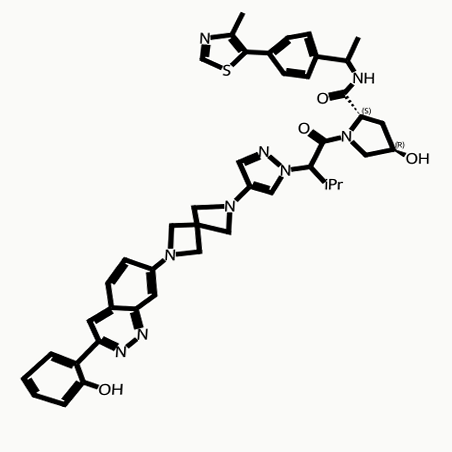 Cc1ncsc1-c1ccc(C(C)NC(=O)[C@@H]2C[C@@H](O)CN2C(=O)C(C(C)C)n2cc(N3CC4(CN(c5ccc6cc(-c7ccccc7O)nnc6c5)C4)C3)cn2)cc1